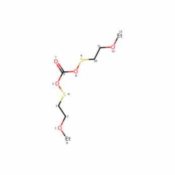 CCOCCSOC(=O)OSCCOCC